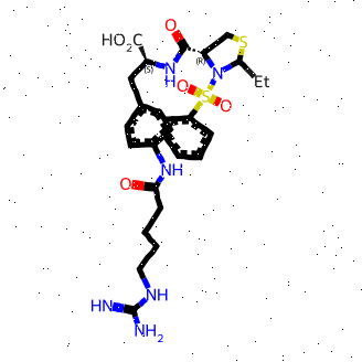 CCC1SC[C@@H](C(=O)N[C@@H](Cc2ccc(NC(=O)CCCCNC(=N)N)cc2)C(=O)O)N1S(=O)(=O)c1ccccc1